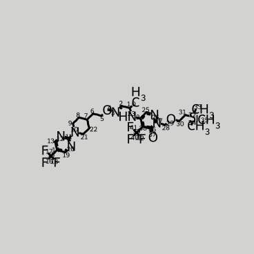 CC(/C=N/OCCC1CCN(c2ncc(C(F)(F)F)cn2)CC1)Nc1cnn(COCC[Si](C)(C)C)c(=O)c1C(F)(F)F